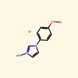 CCC[n+]1ccn(-c2ccc(OCC)cc2)c1.[Br-]